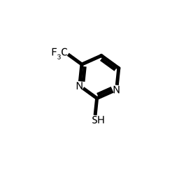 FC(F)(F)c1ccnc(S)n1